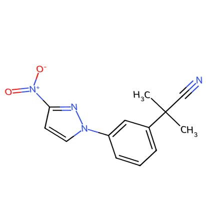 CC(C)(C#N)c1cccc(-n2ccc([N+](=O)[O-])n2)c1